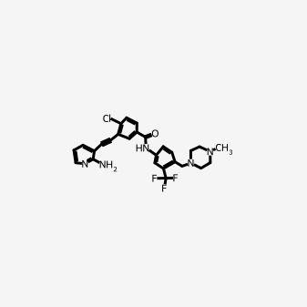 CN1CCN(Cc2ccc(NC(=O)c3ccc(Cl)c(C#Cc4cccnc4N)c3)cc2C(F)(F)F)CC1